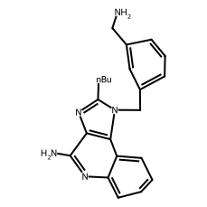 CCCCc1nc2c(N)nc3ccccc3c2n1Cc1cccc(CN)c1